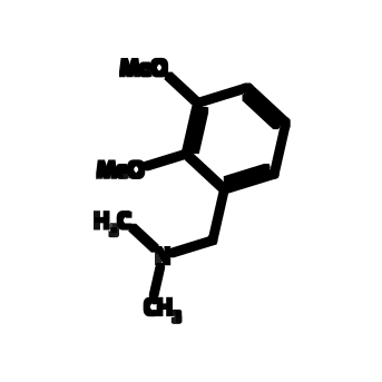 COc1cccc(CN(C)C)c1OC